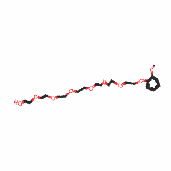 COc1ccccc1OCCOCCOCCOCCOCCOCCOCCO